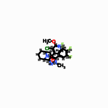 COc1nccc(C(=O)N2C3CCCC2c2nn(C)c(-c4cc(F)c(F)c(F)c4)c2C3)c1Cl